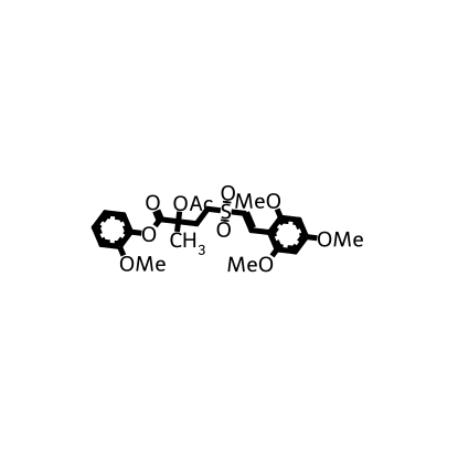 COc1cc(OC)c(C=CS(=O)(=O)CCC(C)(OC(C)=O)C(=O)Oc2ccccc2OC)c(OC)c1